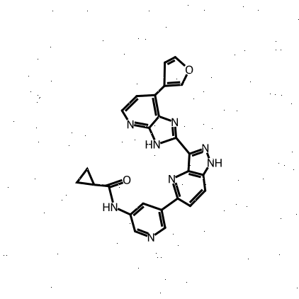 O=C(Nc1cncc(-c2ccc3[nH]nc(-c4nc5c(-c6ccoc6)ccnc5[nH]4)c3n2)c1)C1CC1